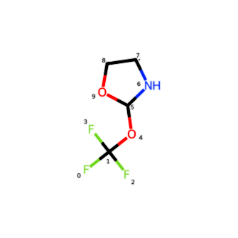 FC(F)(F)OC1N[CH]CO1